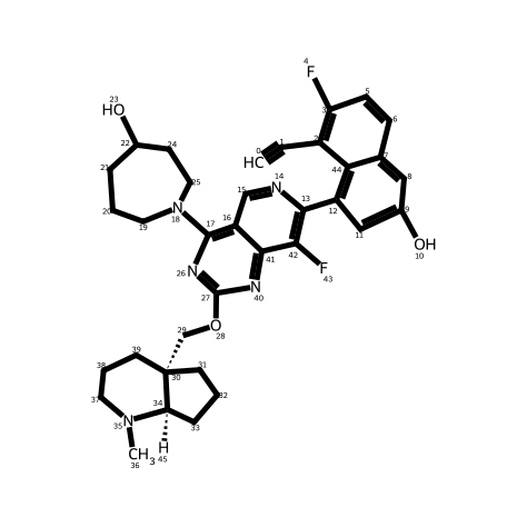 C#Cc1c(F)ccc2cc(O)cc(-c3ncc4c(N5CCCC(O)CC5)nc(OC[C@]56CCC[C@H]5N(C)CCC6)nc4c3F)c12